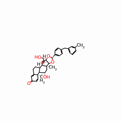 Cc1cccc(Cc2ccc([C@@H]3O[C@@H]4CC5[C@@H]6CCC7=CC(=O)C=C[C@]7(C)C6[C@@H](O)C[C@]5(C)[C@]4(C(=O)CO)O3)cc2)c1